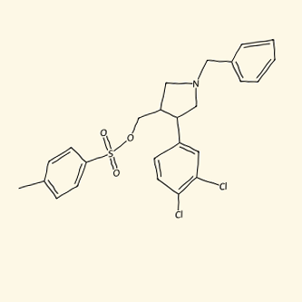 Cc1ccc(S(=O)(=O)OCC2CN(Cc3ccccc3)CC2c2ccc(Cl)c(Cl)c2)cc1